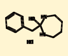 Cl.OC1(Cc2ccccc2)NCCCCN1